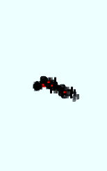 CC(C)(C)OC(=O)NCCOc1ccc2c(c1)[nH]c(=O)n2CCN1CCCC1